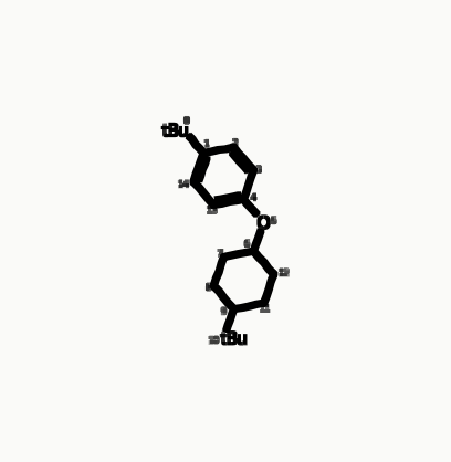 CC(C)(C)c1ccc(OC2CCC(C(C)(C)C)CC2)cc1